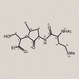 CCC(=O)C(CO)N1C(=O)C(NC(=O)C(CCSC)NC(C)=O)CC1C